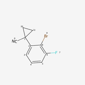 N#CC1(c2cccc(F)c2Br)CC1